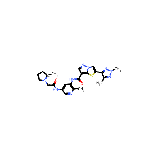 Cc1ncc(NC(=O)CN2CCC[C@H]2C)cc1NC(=O)c1cnn2cc(-c3nn(C)nc3C)sc12